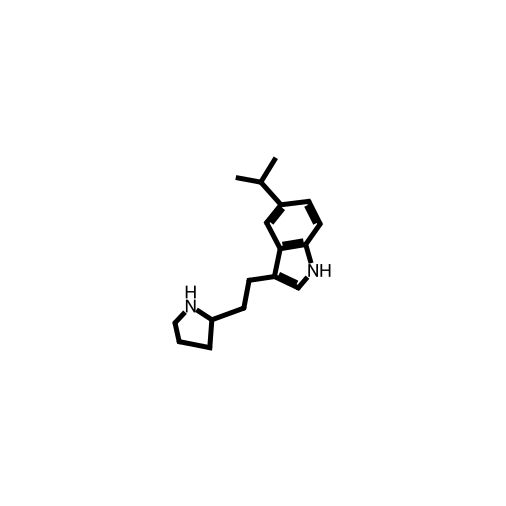 CC(C)c1ccc2[nH]cc(CCC3CCCN3)c2c1